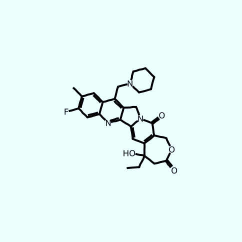 CCC1(O)CC(=O)OCc2c1cc1n(c2=O)Cc2c-1nc1cc(F)c(C)cc1c2CN1CCCCC1